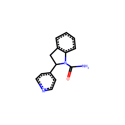 NC(=O)N1c2ccccc2CC1c1ccncc1